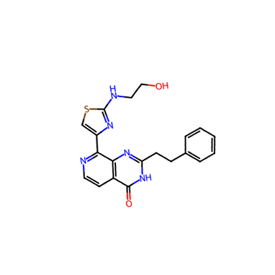 O=c1[nH]c(CCc2ccccc2)nc2c(-c3csc(NCCO)n3)nccc12